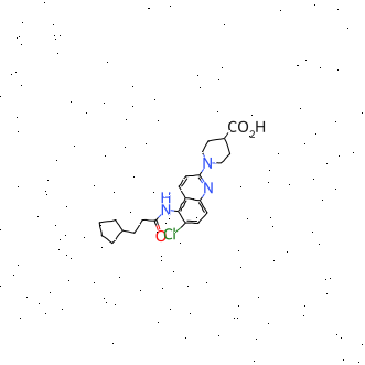 O=C(CCC1CCCC1)Nc1c(Cl)ccc2nc(N3CCC(C(=O)O)CC3)ccc12